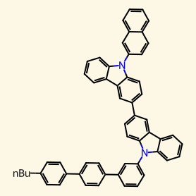 CCCCc1ccc(-c2ccc(-c3cccc(-n4c5ccccc5c5cc(-c6ccc7c(c6)c6ccccc6n7-c6ccc7ccccc7c6)ccc54)c3)cc2)cc1